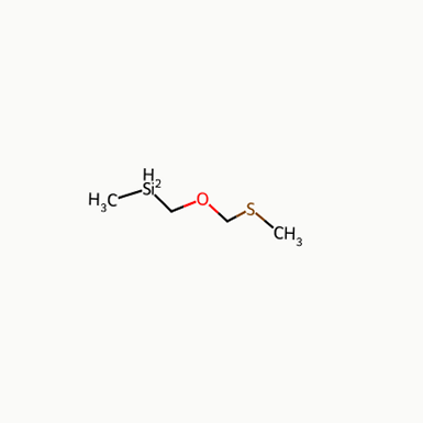 C[SiH2]COCSC